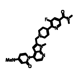 CNc1ccn(-c2ccnc3c2cc(CN2CC=C(c4ncc(C(=O)N(C)C)cc4F)CC2)n3C)c(=O)c1